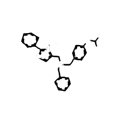 CCCCn1c(CN(Cc2ccccc2)Cc2ccc(OC(F)F)cc2)cnc1-c1ccccc1